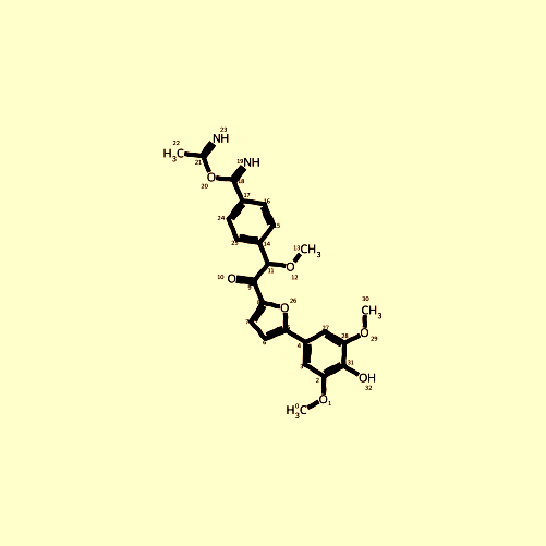 COc1cc(-c2ccc(C(=O)C(OC)c3ccc(C(=N)OC(C)=N)cc3)o2)cc(OC)c1O